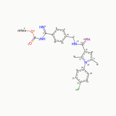 CCCCCCOC(=O)NC(=N)c1ccc(CNC(=P)c2cc(C)n(-c3ccc(F)cc3)c2C)cc1